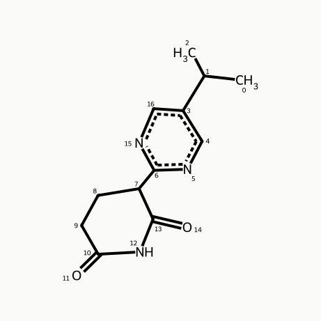 CC(C)c1cnc(C2CCC(=O)NC2=O)nc1